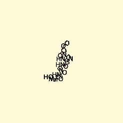 COC[C@@H](NC(=O)O)C(=O)N1CCC[C@@H](NC(=O)c2sc3nccc4c3c2NC(=O)N4c2ccc(Oc3ccccc3)cc2C)C1